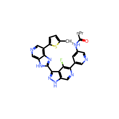 CCCC(=O)Nc1cncc(-c2ncc3[nH]nc(-c4nc5c(-c6ccc(C)s6)cncc5[nH]4)c3c2F)c1